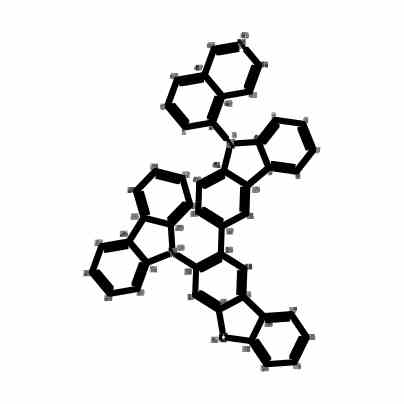 c1cc(-n2c3ccccc3c3cc(-c4cc5c(cc4-n4c6ccccc6c6ccccc64)oc4ccccc45)ccc32)c2ccncc2c1